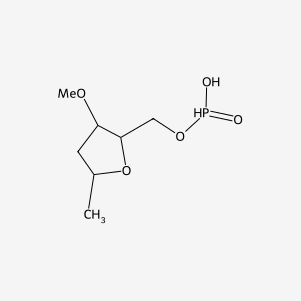 COC1CC(C)OC1CO[PH](=O)O